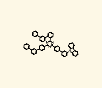 c1ccc(-c2cccc(-c3ccc(-c4nc(-c5ccc(-c6cccc(-n7c8ccccc8c8ccccc87)c6)cc5)nc(-c5ccccc5-c5cccc(-c6ccccc6)c5)n4)cc3)c2)cc1